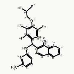 Cc1cccc(NC(c2ccc3cccnc3c2O)c2c(F)c(F)c(OCC(F)F)c(F)c2F)n1